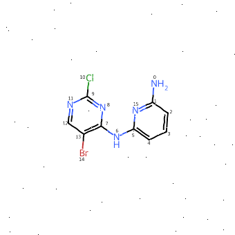 Nc1cccc(Nc2nc(Cl)ncc2Br)n1